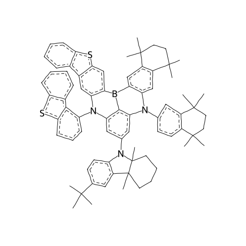 CC(C)(C)c1ccc2c(c1)C1(C)CCCCC1(C)N2c1cc2c3c(c1)N(c1cccc4sc5ccccc5c14)c1cc4c(cc1B3c1cc3c(cc1N2c1ccc2c(c1)C(C)(C)CCC2(C)C)C(C)(C)CCC3(C)C)sc1ccccc14